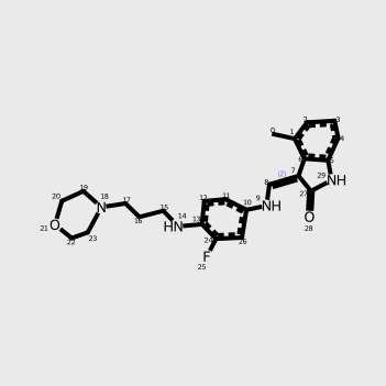 Cc1cccc2c1/C(=C/Nc1ccc(NCCCN3CCOCC3)c(F)c1)C(=O)N2